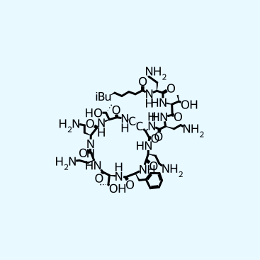 CC[C@H](C)CCCCC(=O)N[C@@H](CCN)C(=O)N[C@H](C(=O)N[C@@H](CCN)C(=O)N[C@H]1CCNC(=O)[C@H]([C@@H](C)O)NC(=O)[C@H](CCN)NC(=O)[C@H](CCN)NC(=O)[C@H]([C@@H](C)O)NC(=O)[C@H](Cc2ccccc2)NC(=O)[C@H](CCN)NC1=O)[C@@H](C)O